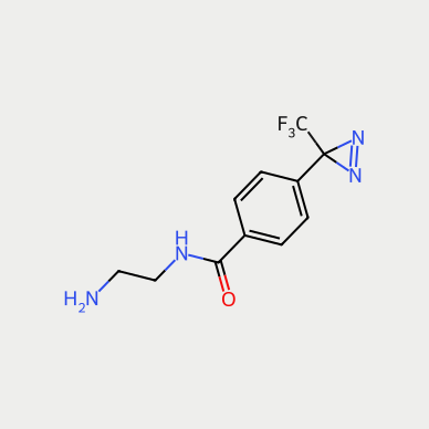 NCCNC(=O)c1ccc(C2(C(F)(F)F)N=N2)cc1